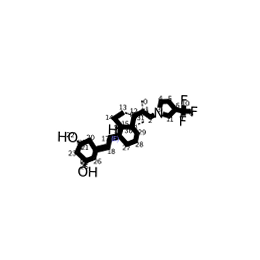 C[C@H](CN1CCC(C(F)(F)F)C1)[C@H]1CC[C@H]2/C(=C/C=C3C[C@@H](O)C[C@H](O)C3)CCC[C@]12C